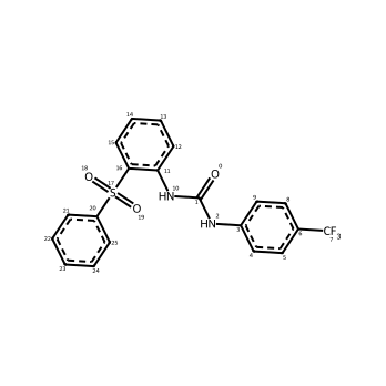 O=C(Nc1ccc(C(F)(F)F)cc1)Nc1ccccc1S(=O)(=O)c1ccccc1